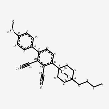 CCCCC12CCC(c3ccc(-c4ccc(OC)cc4)c(C#N)c3C#N)(CC1)CC2